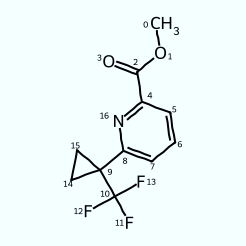 COC(=O)c1cccc(C2(C(F)(F)F)CC2)n1